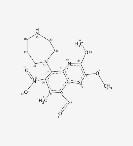 COc1nc2c(C=O)c(C)c([N+](=O)[O-])c(N3CCCNCC3)c2nc1OC